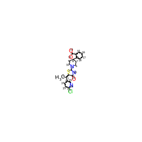 C/C(=C1\SC(N2CCC3(CC2)OC(=O)c2ccccc23)=NC1=O)c1ccc(Cl)nc1